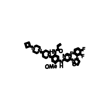 C=CC(=O)Nc1cc(Nc2cc(N3OCC[C@@H]3c3c(F)ccc(F)c3F)ncn2)c(OC)cc1N1CCC(N2CCN(C3CCC3)CC2)CC1